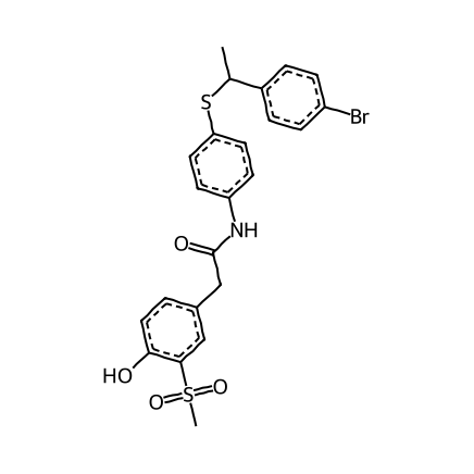 CC(Sc1ccc(NC(=O)Cc2ccc(O)c(S(C)(=O)=O)c2)cc1)c1ccc(Br)cc1